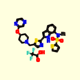 CCN(c1cccc2cc(-c3ncc(CN4CCC(Oc5cnccn5)CC4)s3)[nH]c12)S(=O)(=O)c1cccs1.O=C(O)C(F)(F)F